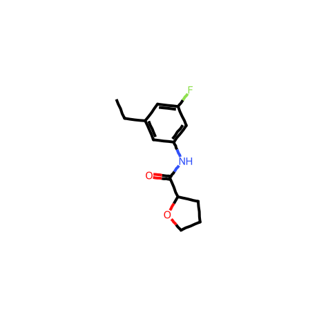 CCc1cc(F)cc(NC(=O)C2CCCO2)c1